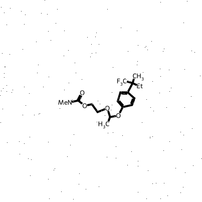 CCC(C)(c1ccc(OC(C)OCCOC(=O)NC)cc1)C(F)(F)F